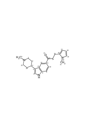 CN1CCC(c2c[nH]c3ccc(C(=O)CCc4cccn4C)cc23)CC1